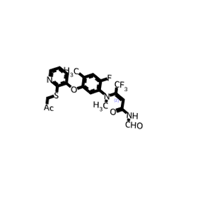 CC(=O)CSc1ncccc1Oc1cc(N(C)/C(=C\C(=O)NC=O)C(F)(F)F)c(F)cc1C